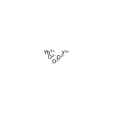 [O-2].[O-2].[O-2].[Y+3].[Yb+3]